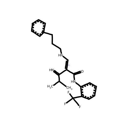 CC(C)C(=N)/C(=C\NCCCc1ccccc1)C(=O)Nc1ccccc1C(F)(F)F